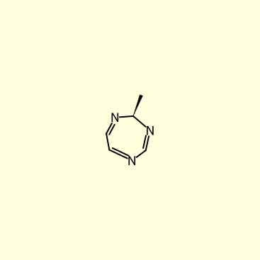 C[C@@H]1N=CC=NC=N1